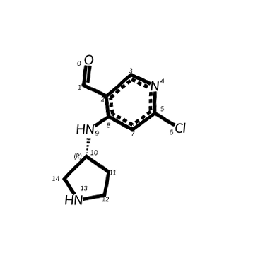 O=Cc1cnc(Cl)cc1N[C@@H]1CCNC1